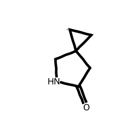 O=C1CC2([CH]C2)CN1